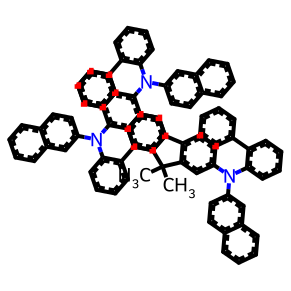 CC1(C)c2cc(N(c3ccc4ccccc4c3)c3ccccc3-c3ccccc3)ccc2-c2cc3c(N(c4ccc5ccccc5c4)c4ccccc4-c4ccccc4)c4ccccc4c(N(c4ccc5ccccc5c4)c4ccccc4-c4ccccc4)c3cc21